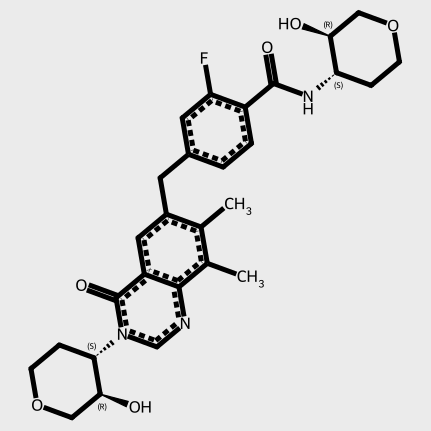 Cc1c(Cc2ccc(C(=O)N[C@H]3CCOC[C@@H]3O)c(F)c2)cc2c(=O)n([C@H]3CCOC[C@@H]3O)cnc2c1C